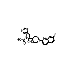 CC(Cc1cncs1)(NC(=O)O)C1CCN(c2ccc3ccc(F)cc3n2)CC1